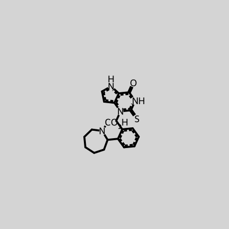 O=C(O)N1CCCCCC1c1ccccc1Cn1c(=S)[nH]c(=O)c2[nH]ccc21